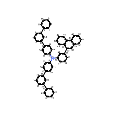 c1ccc(-c2cccc(-c3ccc(N(c4ccc(-c5cccc(-c6ccccc6)c5)cc4)c4cccc(-c5cc6ccccc6c6ccccc56)c4)cc3)c2)cc1